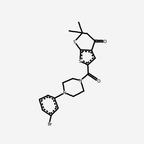 CC1(C)CC(=O)c2cc(C(=O)N3CCN(c4cccc(Br)c4)CC3)sc2S1